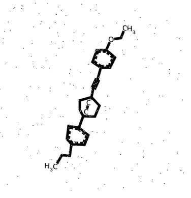 CCCc1ccc(C23CCC(C#Cc4ccc(OCC)cc4)(CC2)CC3)cc1